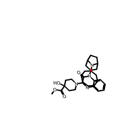 COC(=O)C1(O)CCN(c2nc3ccccc3n(C3CC4CCC(C3)N4C3CCCCCCC3)c2=O)CC1